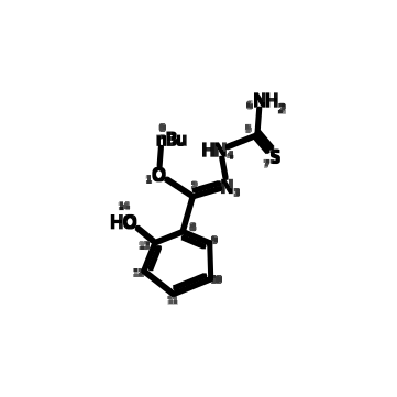 CCCCOC(=NNC(N)=S)c1ccccc1O